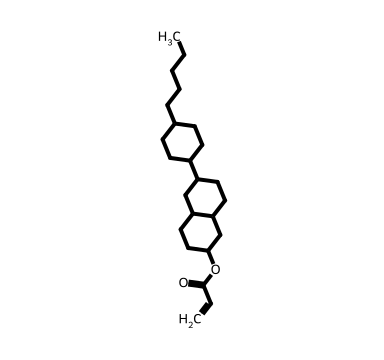 C=CC(=O)OC1CCC2CC(C3CCC(CCCCC)CC3)CCC2C1